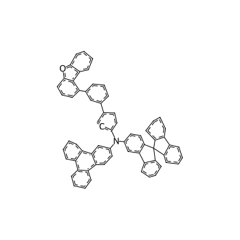 c1cc(-c2ccc(N(c3ccc4c(c3)-c3ccccc3C43c4ccccc4-c4ccccc43)c3ccc4c5ccccc5c5ccccc5c4c3)cc2)cc(-c2cccc3oc4ccccc4c23)c1